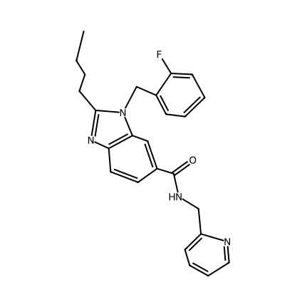 CCCCc1nc2ccc(C(=O)NCc3ccccn3)cc2n1Cc1ccccc1F